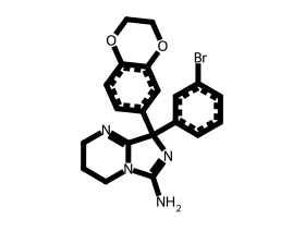 NC1=NC(c2cccc(Br)c2)(c2ccc3c(c2)OCCO3)C2=NCCCN12